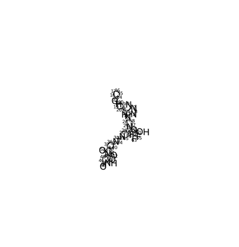 Nc1ncnc2c1c(-c1ccc(Oc3ccccc3)cc1)nn2C1CCN(CC2CCN(C3CN(c4ccc5c(c4)C(=O)N(C4CCC(=O)NC4=O)C5=O)C3)CC2)CC1.O=C(O)C(F)(F)F